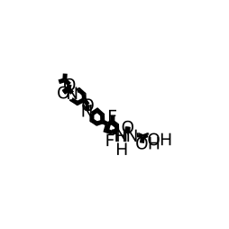 CC(C)OC(=O)N1CCC(ON=C2CCC(c3cc(F)c(NC(=O)NCC(O)CO)cc3F)CC2)CC1